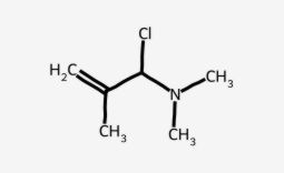 C=C(C)C(Cl)N(C)C